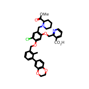 COC(=O)C1CCCCN1Cc1cc(Cl)c(OCc2cccc(-c3ccc4c(c3)OCCO4)c2C)cc1OCc1ncccc1C(=O)O